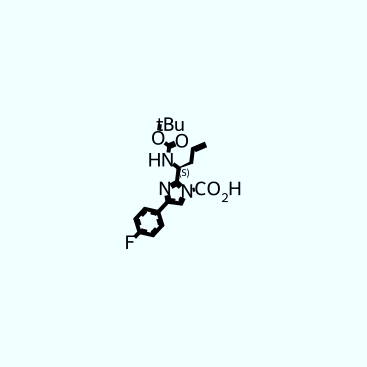 C=CC[C@H](NC(=O)OC(C)(C)C)c1nc(-c2ccc(F)cc2)cn1C(=O)O